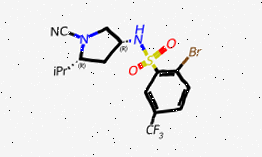 CC(C)[C@H]1C[C@@H](NS(=O)(=O)c2cc(C(F)(F)F)ccc2Br)CN1C#N